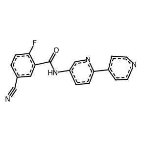 N#Cc1ccc(F)c(C(=O)Nc2ccc(-c3ccncc3)nc2)c1